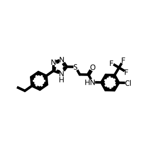 CCc1ccc(-c2nnc(SCC(=O)Nc3ccc(Cl)c(C(F)(F)F)c3)[nH]2)cc1